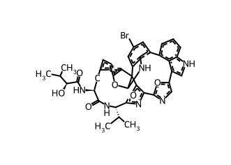 CC(C)[C@H](O)C(=O)N[C@H]1Cc2ccc3c(c2)C24c5cc(Br)cc(c5NC2O3)-c2cccc3[nH]cc(c23)-c2cnc(o2)-c2nc(oc24)[C@H](C(C)C)NC1=O